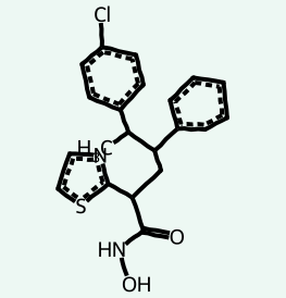 CC(c1ccc(Cl)cc1)C(CC(C(=O)NO)c1nccs1)c1ccccc1